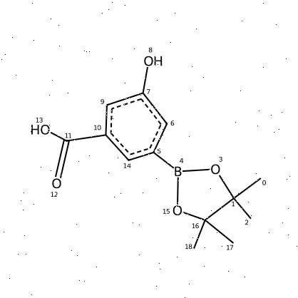 CC1(C)OB(c2cc(O)cc(C(=O)O)c2)OC1(C)C